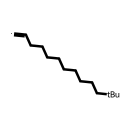 [CH]=CCCCCCCCCCC(C)(C)C